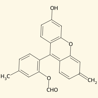 C=c1ccc2c(c1)Oc1cc(O)ccc1C=2c1ccc(C)cc1OC=O